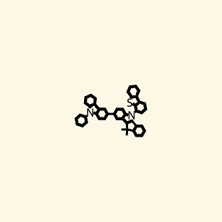 CC1(C)c2ccccc2-c2c1c1cc(-c3ccc4c(c3)c3ccccc3n4-c3ccccc3)ccc1n2-c1cccc2c1sc1ccccc12